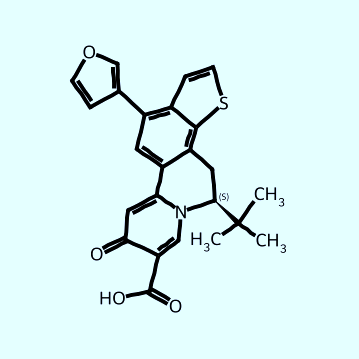 CC(C)(C)[C@@H]1Cc2c(cc(-c3ccoc3)c3ccsc23)-c2cc(=O)c(C(=O)O)cn21